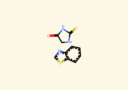 O=C1CNC(=S)N1.c1ccc2scnc2c1